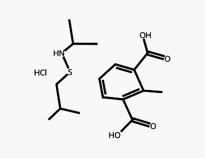 CC(C)CSNC(C)C.Cc1c(C(=O)O)cccc1C(=O)O.Cl